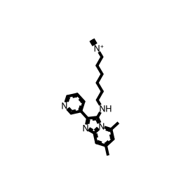 C#[N+]CCCCCCNc1c(-c2cccnc2)nc2cc(C)cc(C)n12